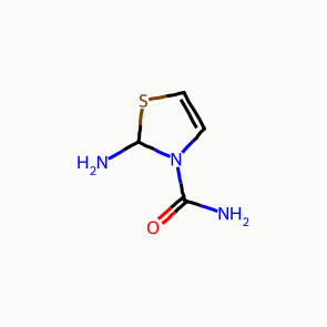 NC(=O)N1C=CSC1N